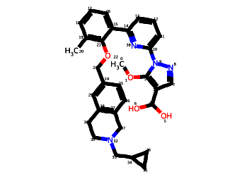 COc1c(C(O)O)cnn1-c1cccc(-c2cccc(C)c2OCc2ccc3c(c2)CCN(CC2CC2)C3)n1